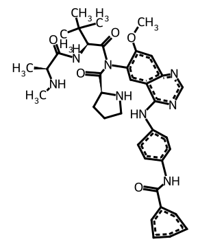 CN[C@@H](C)C(=O)N[C@H](C(=O)N(C(=O)[C@@H]1CCCN1)c1cc2c(Nc3ccc(NC(=O)c4ccccc4)cc3)ncnc2cc1OC)C(C)(C)C